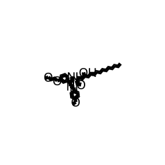 CCCCCCCCCCCCC(O)CCN(C=O)c1[nH]c2ccc(OCCOC)cc2c1N=Nc1ccc(OC)cc1